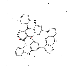 c1ccc2c(c1)Oc1cc(-c3cccc4c3Oc3c(cccc3-c3cc5c6c(c3)Oc3ccccc3N6c3ccccc3O5)O4)cc3c1B2c1ccccc1O3